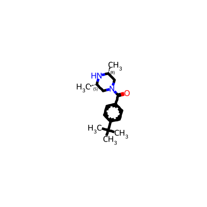 C[C@@H]1CN(C(=O)c2ccc(C(C)(C)C)cc2)C[C@H](C)N1